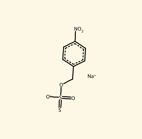 O=[N+]([O-])c1ccc(COS(=O)([O-])=S)cc1.[Na+]